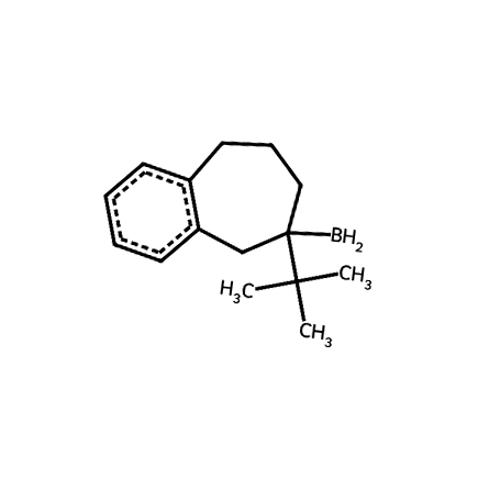 BC1(C(C)(C)C)CCCc2ccccc2C1